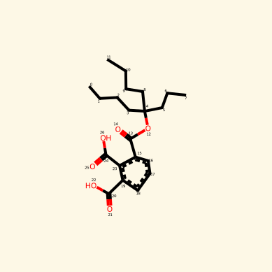 CCCCC(CCC)(CCCC)OC(=O)c1cccc(C(=O)O)c1C(=O)O